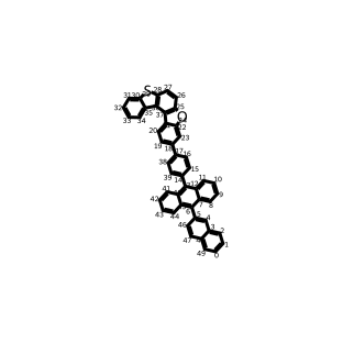 c1ccc2cc(-c3c4ccccc4c(-c4ccc(-c5ccc6c(c5)oc5ccc7sc8ccccc8c7c56)cc4)c4ccccc34)ccc2c1